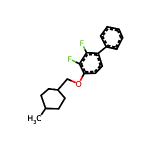 CC1CCC(COc2ccc(-c3ccccc3)c(F)c2F)CC1